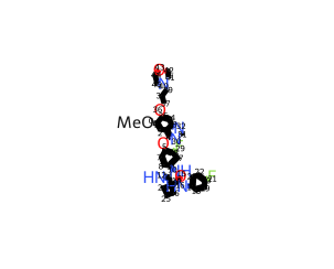 COc1cc2c(Oc3ccc(NC(=N)C4(C(=O)Nc5ccc(F)cc5)CCC4)cc3F)ncnc2cc1OCCCN1CCOCC1